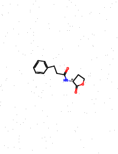 O=C(CCc1ccccc1)N[C@@H]1CCOC1=O